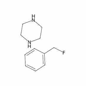 C1CNCCN1.FCc1ccccc1